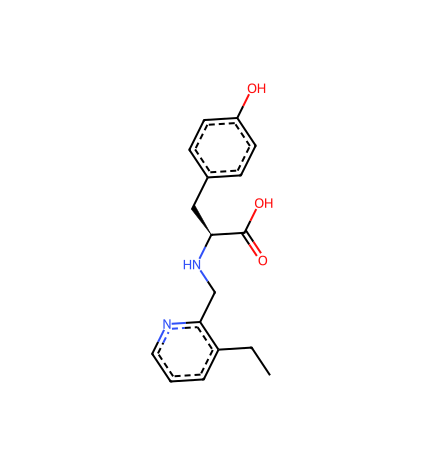 CCc1cccnc1CN[C@@H](Cc1ccc(O)cc1)C(=O)O